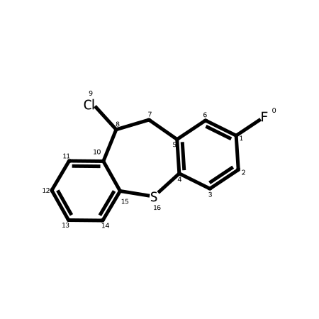 Fc1ccc2c(c1)CC(Cl)c1ccccc1S2